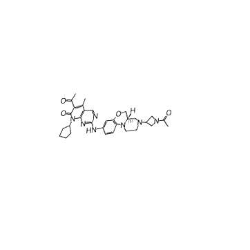 CC(=O)c1c(C)c2cnc(Nc3ccc4c(c3)OC[C@@H]3CN(C5CN(C(C)=O)C5)CCN43)nc2n(C2CCCC2)c1=O